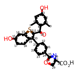 Cc1cc(O)cc(C)c1C(=O)c1sc2cc(O)ccc2c1-c1ccc(-c2nc(C(=O)O)co2)cc1